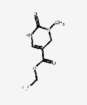 CCOC(=O)C1=CNC(=O)N(C)C1